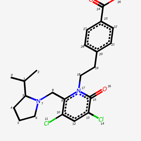 CC(C)C1CCCN1Cc1c(Cl)cc(Cl)c(=O)n1CCc1ccc(C(=O)O)cc1